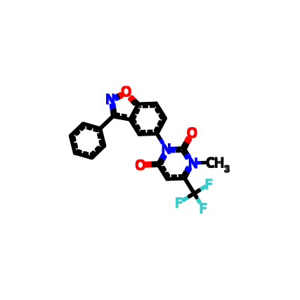 Cn1c(C(F)(F)F)cc(=O)n(-c2ccc3onc(-c4ccccc4)c3c2)c1=O